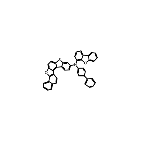 c1ccc(-c2ccc(N(c3ccc4c(c3)sc3ccc5oc6c7ccccc7ccc6c5c34)c3cccc4c3oc3ccccc34)cc2)cc1